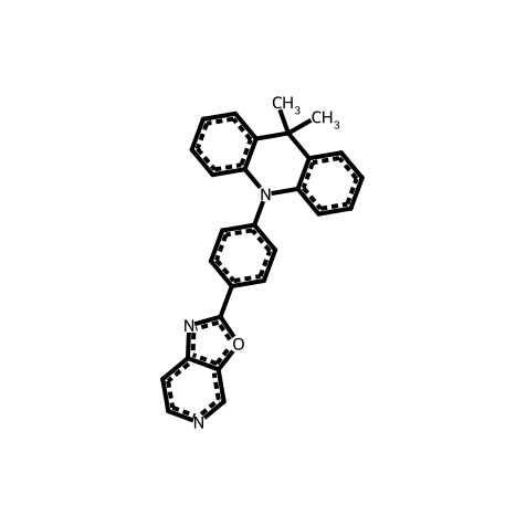 CC1(C)c2ccccc2N(c2ccc(-c3nc4ccncc4o3)cc2)c2ccccc21